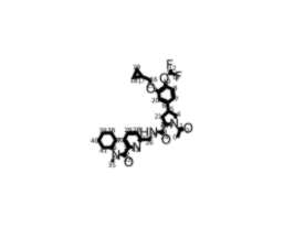 CC(=O)N1CC(c2ccc(OC(F)F)c(OCC3CC3)c2)C[C@@H]1C(=O)NCc1cccc(C(=O)N(C)C2CCCCC2)n1